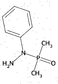 CP(C)(=O)N(N)c1ccccc1